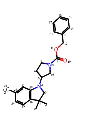 CC1(C)CN(C2CCN(C(=O)OCc3ccccc3)C2)c2cc(C(=O)O)ccc21